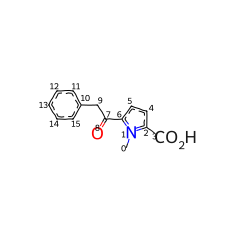 Cn1c(C(=O)O)ccc1C(=O)Cc1ccccc1